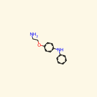 NCCOc1ccc(Nc2ccccc2)cc1